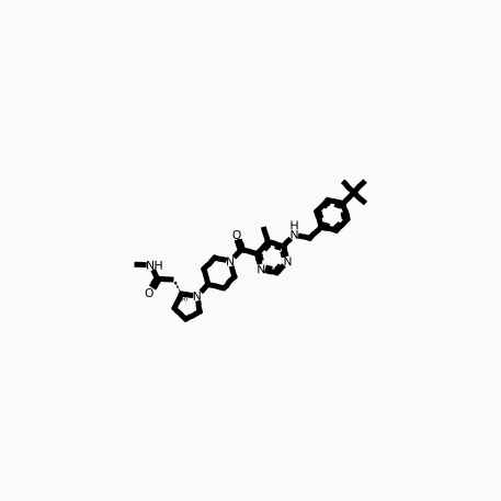 CNC(=O)C[C@H]1CCCN1C1CCN(C(=O)c2ncnc(NCc3ccc(C(C)(C)C)cc3)c2C)CC1